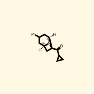 CC(C)C1C[C@@H]2CC3(C(=O)C4CC4)[C@H](C1)N23